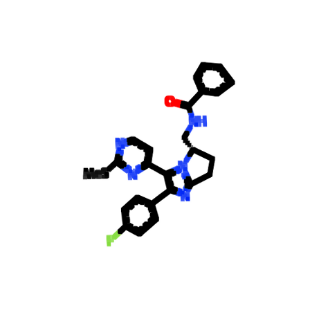 CSc1nccc(-c2c(-c3ccc(F)cc3)nc3n2[C@H](CNC(=O)c2ccccc2)CC3)n1